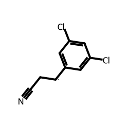 N#CC[CH]c1cc(Cl)cc(Cl)c1